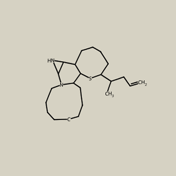 C=CCC(C)C1CCCCC2C3NC3N3CCCCCCCCC3C2S1